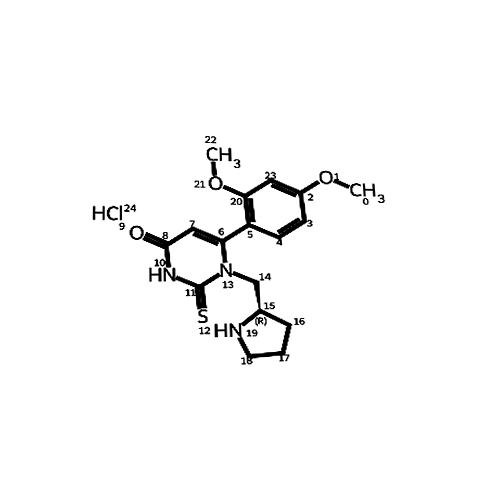 COc1ccc(-c2cc(=O)[nH]c(=S)n2C[C@H]2CCCN2)c(OC)c1.Cl